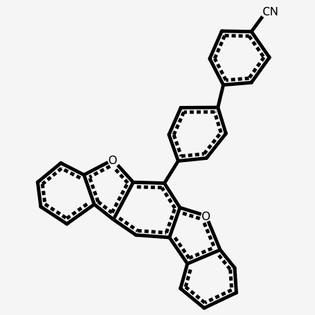 N#Cc1ccc(-c2ccc(-c3c4oc5ccccc5c4cc4c3oc3ccccc34)cc2)cc1